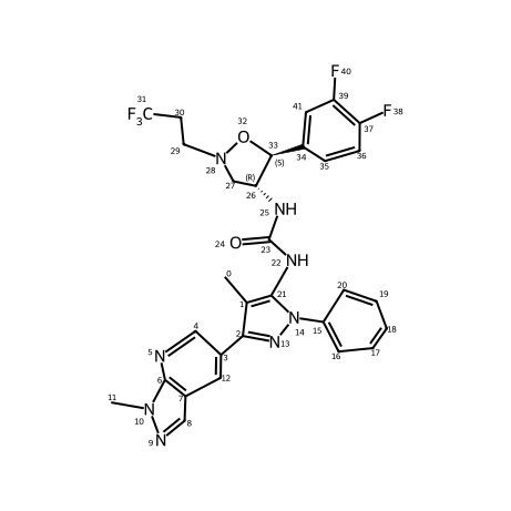 Cc1c(-c2cnc3c(cnn3C)c2)nn(-c2ccccc2)c1NC(=O)N[C@@H]1CN(CCC(F)(F)F)O[C@H]1c1ccc(F)c(F)c1